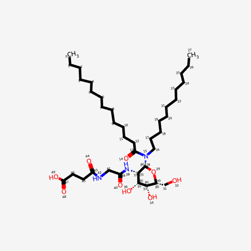 CCCCCCCCCCCCCC(=O)N(CCCCCCCCCCCC)[C@@H]1O[C@H](CO)[C@H](O)[C@H](O)[C@@H]1NC(=O)CNC(=O)CCC(=O)O